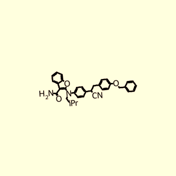 CC(C)CN(c1ccc(C(C#N)Cc2ccc(OCc3ccccc3)cc2)cc1)c1oc2ccccc2c1C(N)=O